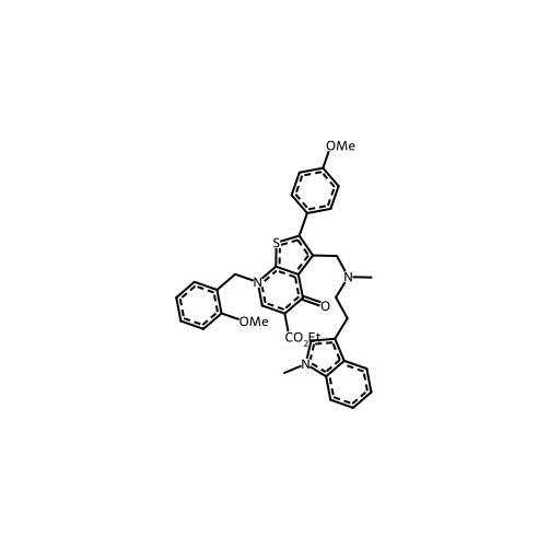 CCOC(=O)c1cn(Cc2ccccc2OC)c2sc(-c3ccc(OC)cc3)c(CN(C)CCc3cn(C)c4ccccc34)c2c1=O